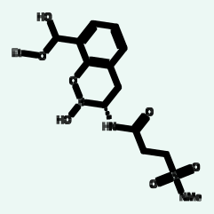 CCOC(O)c1cccc2c1OB(O)[C@@H](NC(=O)CCS(=O)(=O)NC)C2